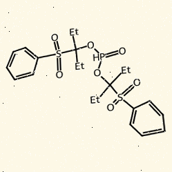 CCC(CC)(O[PH](=O)OC(CC)(CC)S(=O)(=O)c1ccccc1)S(=O)(=O)c1ccccc1